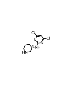 Clc1cc(Cl)nc(N[C@H]2CCCNC2)n1